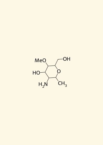 COC1C(CO)OC(C)C(N)C1O